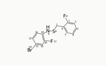 Fc1ccccc1CSNc1ccc(Br)cc1F